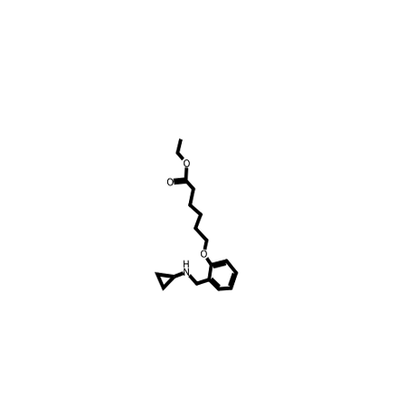 CCOC(=O)CCCCCOc1ccccc1CNC1CC1